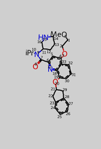 COCCOc1cc(C(=O)N(C(C)C)C2CCCNC2)nc2c(OC3Cc4ccccc4C3)cccc12